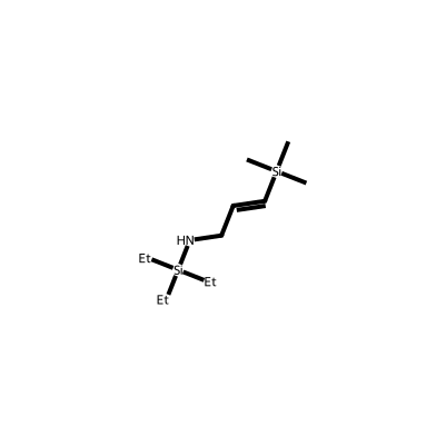 CC[Si](CC)(CC)NCC=C[Si](C)(C)C